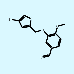 COc1ccc(C=O)cc1OCc1cc(Br)cs1